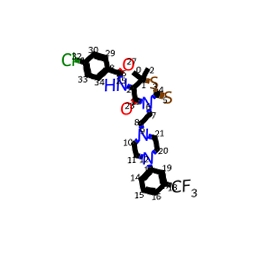 CC1(C)SC(=S)N(CCN2CCN(c3cccc(C(F)(F)F)c3)CC2)C(=O)C1NC(=O)c1ccc(Cl)cc1